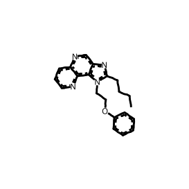 CCCCc1nc2cnc3cccnc3c2n1CCOc1ccccc1